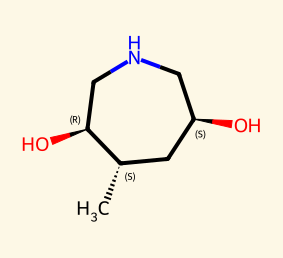 C[C@H]1C[C@H](O)CNC[C@@H]1O